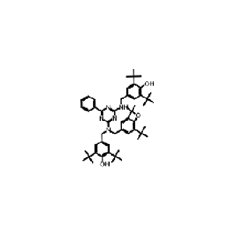 CC(C)(C)c1cc(CNc2nc(-c3ccccc3)nc(N(Cc3cc(C(C)(C)C)c(O)c(C(C)(C)C)c3)Cc3cc(C(C)(C)C)c4c(c3)C(C)(C)O4)n2)cc(C(C)(C)C)c1O